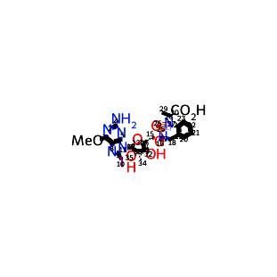 COc1nc(N)nc2c1nc(I)n2[C@@H]1O[C@H](CON(Cc2ccccc2)/[P+]([O-])=N/C(C)C(=O)O)[C@@H](O)[C@@]1(C)O